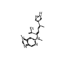 C=C(CC)/C(=C\C=C(/C)c1cn[nH]c1)N(C)c1cc2c(cn1)ncn2C